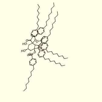 CCCCCCCCc1ccc(C(=O)O[C@@]2(C(=O)c3ccc(CCCCCCCC)cc3)[C@@](OC(=O)c3ccc(CCCCCCCC)cc3)(C(=O)c3ccc(CCCCCCCC)cc3)[C@@H](O)[C@H](O)[C@@H](O)[C@@]2(OC(=O)c2ccc(CCCCCCCC)cc2)C(=O)c2ccc(CCCCCCCC)cc2)cc1